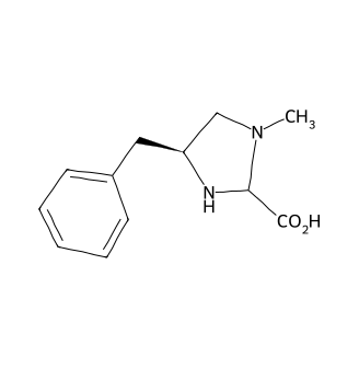 CN1C[C@H](Cc2ccccc2)NC1C(=O)O